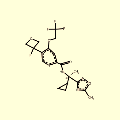 Cc1nc([C@](C)(NC(=O)c2cc(OCC(F)(F)F)c(C3(F)COC3)cn2)C2CC2)no1